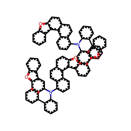 c1ccc(-c2ccccc2N(c2ccc3oc4ccccc4c3c2)c2cccc3c2ccc2ccc4oc5c(-c6cccc(-c7ccccc7N(c7cccc8c7ccc7ccc9oc%10ccccc%10c9c78)c7cccc8oc9ccccc9c78)c6)cccc5c4c23)cc1